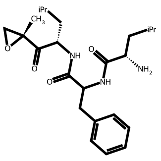 CC(C)C[C@H](NC(=O)C(Cc1ccccc1)NC(=O)[C@@H](N)CC(C)C)C(=O)[C@@]1(C)CO1